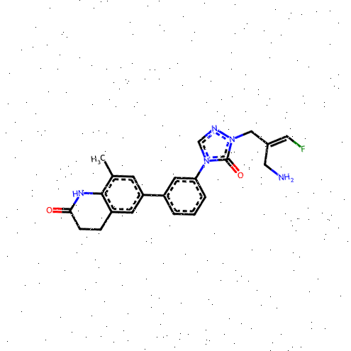 Cc1cc(-c2cccc(-n3cnn(C/C(=C/F)CN)c3=O)c2)cc2c1NC(=O)CC2